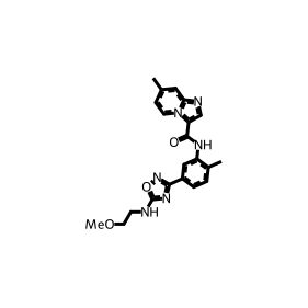 COCCNc1nc(-c2ccc(C)c(NC(=O)c3cnc4cc(C)ccn34)c2)no1